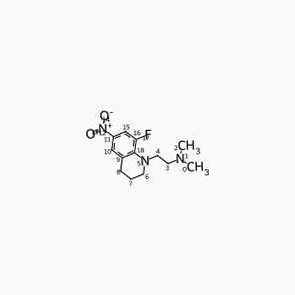 CN(C)CCN1CCCc2cc([N+](=O)[O-])cc(F)c21